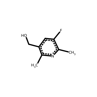 Cc1nc(C)c(CO)cc1F